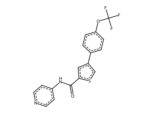 O=C(Nc1ccncc1)c1cc(-c2ccc(OC(F)(F)F)cc2)cs1